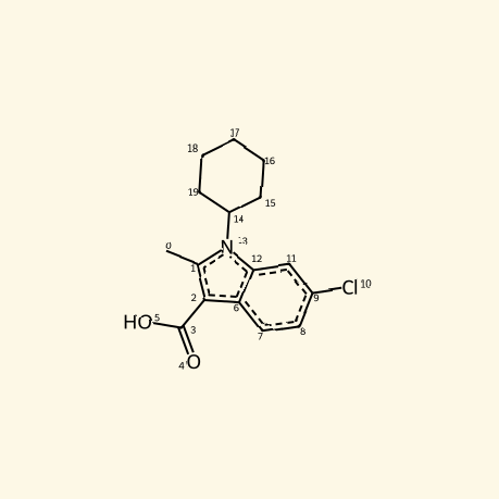 Cc1c(C(=O)O)c2ccc(Cl)cc2n1C1CCCCC1